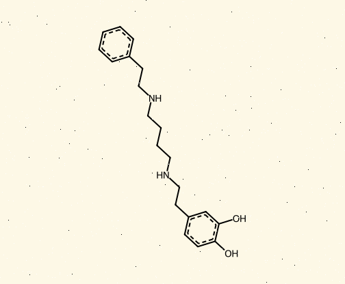 Oc1ccc(CCNCCCCNCCc2ccccc2)cc1O